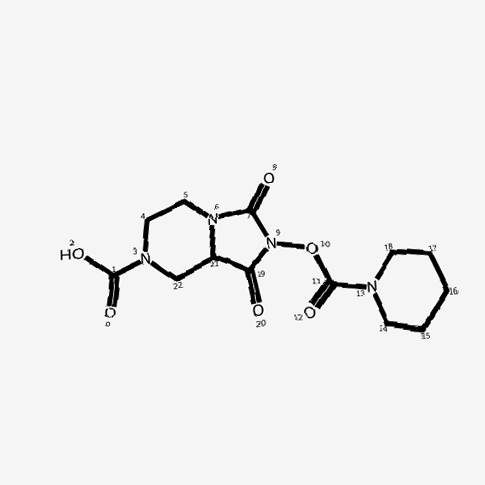 O=C(O)N1CCN2C(=O)N(OC(=O)N3CCCCC3)C(=O)C2C1